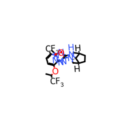 Cc1nnc(N2C[C@H]3CC[C@@H](C2)[C@]3(C)Nc2nc3c(OC(C)C(F)(F)F)ccc(C(F)(F)F)n3n2)o1